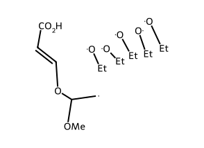 [CH2]C(OC)OC=CC(=O)O.[CH2]C[O].[CH2]C[O].[CH2]C[O].[CH2]C[O].[CH2]C[O]